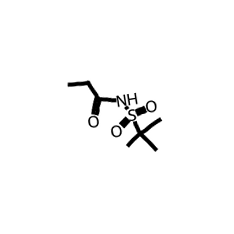 CCC(=O)NS(=O)(=O)C(C)(C)C